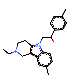 CCN1CCc2c(c3cc(C)ccc3n2CC(O)c2ccc(C)cc2)C1